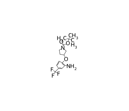 CC(C)(C)OC(=O)N1CCC(Oc2ccc(C(F)(F)F)cc2N)C1